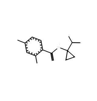 Cc1cc(F)ccc1C(=O)NC1(C(F)F)CC1